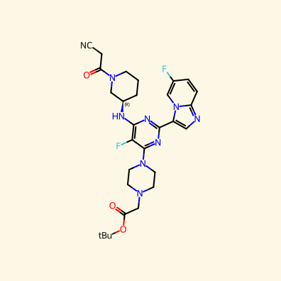 CC(C)(C)OC(=O)CN1CCN(c2nc(-c3cnc4ccc(F)cn34)nc(N[C@@H]3CCCN(C(=O)CC#N)C3)c2F)CC1